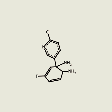 NC1C=CC(F)=CC1(N)c1ccc(Cl)nc1